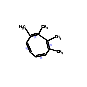 CC1=C(C)/C(C)=C(C)\C=C/C=C\1